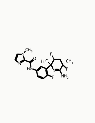 Cn1ccnc1C(=O)Nc1ccc(F)c([C@@]2(C)N=C(N)[C@](C)(F)C[C@@H]2F)c1